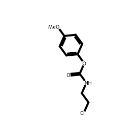 COc1ccc(OC(=O)NCCCl)cc1